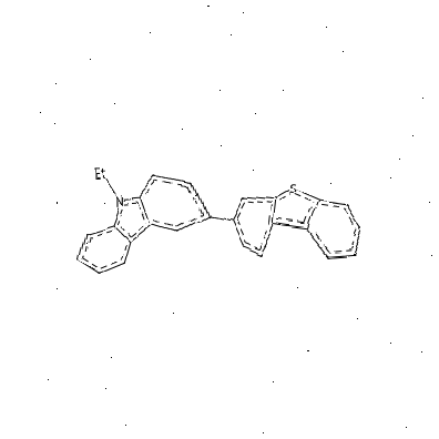 CCn1c2ccccc2c2cc(-c3ccc4c(c3)sc3ccccc34)ccc21